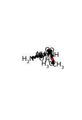 CC(C)CCCCNc1c(NCCNC(=O)[C@H](N)CCCCN)c(=O)c1=O